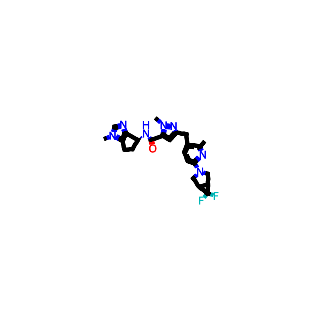 Cc1nc(N2CC3C(C2)C3(F)F)ccc1Cc1cc(C(=O)N[C@@H]2CCc3c2ncn3C)n(C)n1